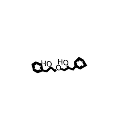 OC(COCC(O)Cc1ccccc1)Cc1ccccc1